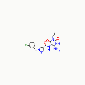 CCCn1c(=O)[nH]c(N)c(NC(=O)c2cnn(Cc3cccc(F)c3)c2)c1=O